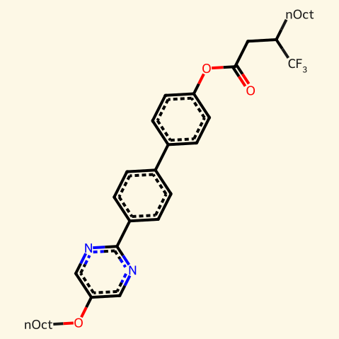 CCCCCCCCOc1cnc(-c2ccc(-c3ccc(OC(=O)CC(CCCCCCCC)C(F)(F)F)cc3)cc2)nc1